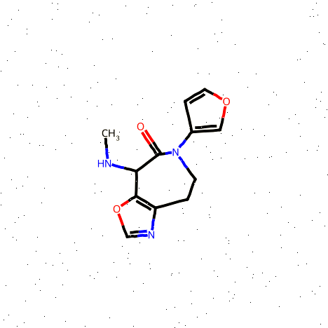 CNC1C(=O)N(c2ccoc2)CCc2ncoc21